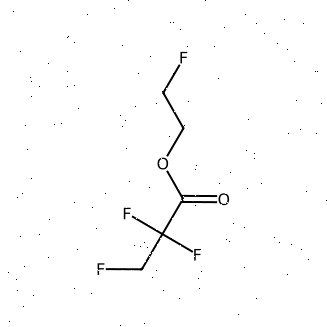 O=C(OCCF)C(F)(F)CF